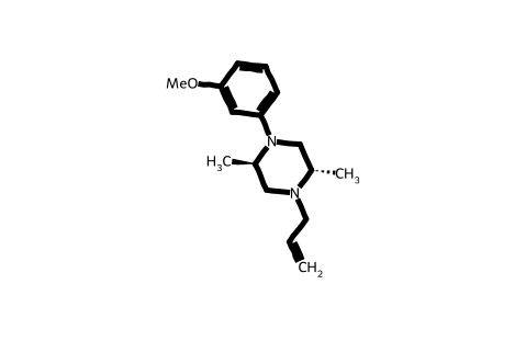 C=CCN1C[C@@H](C)N(c2cccc(OC)c2)C[C@@H]1C